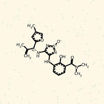 C=C(C)[C@@H](Nc1n[s+]([O-])nc1Nc1cccc(C(=O)N(C)C)c1O)c1cc(C)co1